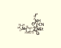 C#CCNC(=O)/C(C#N)=c1\s/c(=C\c2ccc(N3CCCC3)cc2)c(=O)n1CC